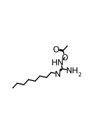 CCCCCCCCN=C(N)NOC(C)=O